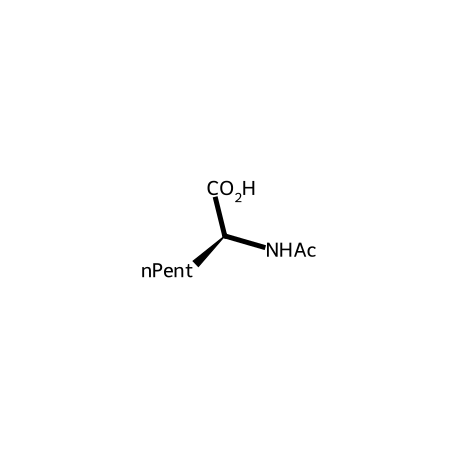 CCCCC[C@H](NC(C)=O)C(=O)O